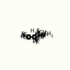 CC(C)N(Cc1cc(-c2ccc(OC(F)(F)F)cc2)cc(C(F)(F)F)c1)C(=O)c1cn(C)cn1